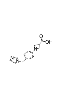 O=C(O)C1CN(c2ccc(Cn3ccnc3)cc2)C1